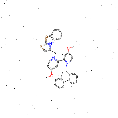 COc1cc[n+](Cc2ccccc2-c2ccccc2C)c(-c2cc(OC)cc[n+]2Cc2csc3sc4ccccc4[n+]23)c1